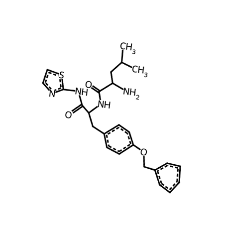 CC(C)CC(N)C(=O)NC(Cc1ccc(OCc2ccccc2)cc1)C(=O)Nc1nccs1